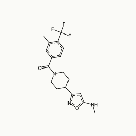 CNc1cc(C2CCN(C(=O)c3ccc(C(F)(F)F)c(C)c3)CC2)no1